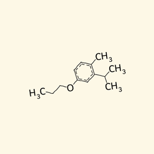 CCCOc1ccc(C)c(C(C)C)c1